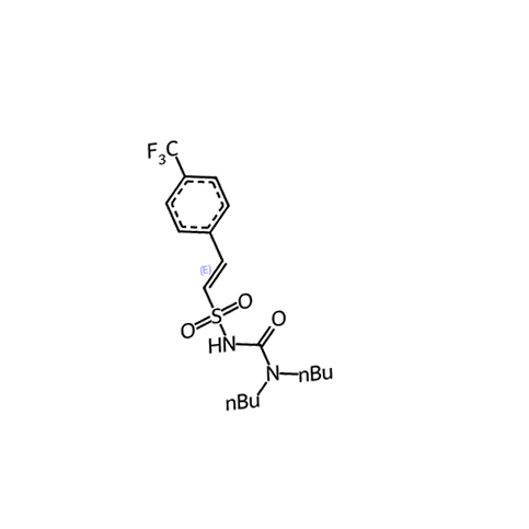 CCCCN(CCCC)C(=O)NS(=O)(=O)/C=C/c1ccc(C(F)(F)F)cc1